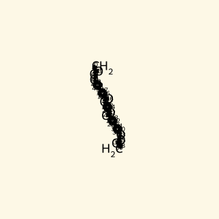 C=CC(=O)OCOc1ccc(-c2ccc(C(=O)Oc3ccc(OC(=O)c4ccc(-c5ccc(OCOC(=O)C=C)cc5)cc4)cc3)cc2)cc1